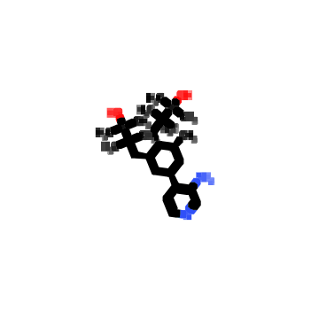 C[C@H]1C[C@@H](c2ccncc2N)C[C@@H](CC(C)(C)[Si](C)(C)O)[C@@H]1CC(C)(C)[Si](C)(C)O